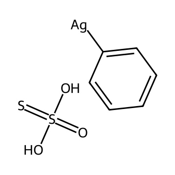 O=S(O)(O)=S.[Ag][c]1ccccc1